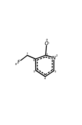 [O]c1ncccc1CF